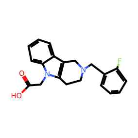 O=C(O)Cn1c2c(c3ccccc31)CN(Cc1ccccc1F)CC2